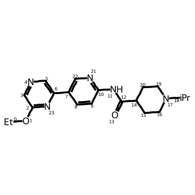 CCOc1cncc(-c2ccc(NC(=O)C3CCN(C(C)C)CC3)nc2)n1